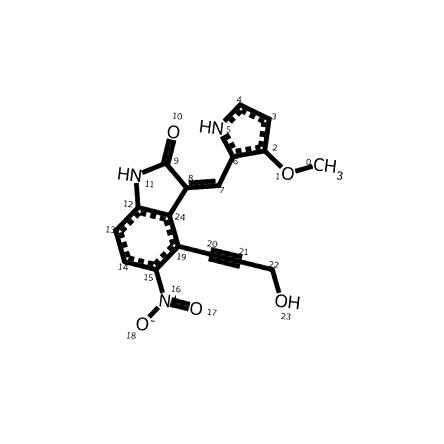 COc1cc[nH]c1C=C1C(=O)Nc2ccc([N+](=O)[O-])c(C#CCO)c21